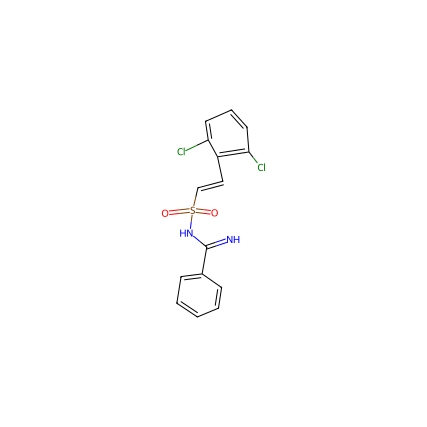 N=C(NS(=O)(=O)C=Cc1c(Cl)cccc1Cl)c1ccccc1